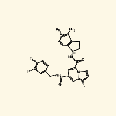 CC(=O)c1ccc2c(c1C)CC[C@@H]2NC(=O)c1cc(C(=O)NCc2ccc(F)c(F)c2)nc2c(F)cnn12